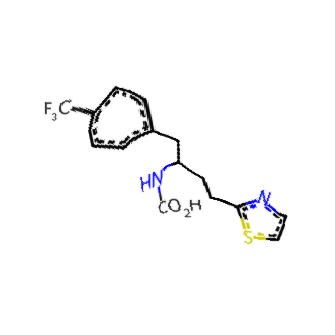 O=C(O)NC(CCc1nccs1)Cc1ccc(C(F)(F)F)cc1